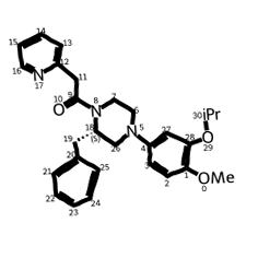 COc1ccc(N2CCN(C(=O)Cc3ccccn3)[C@@H](Cc3ccccc3)C2)cc1OC(C)C